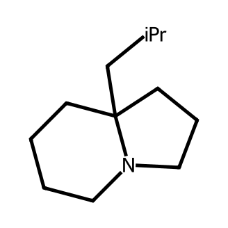 CC(C)CC12CCCCN1CCC2